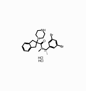 C[C@@H](c1cc(Br)cc(Br)c1)N(C)C(=O)C1(N2CCNCC2)Cc2ccccc2C1.Cl.Cl